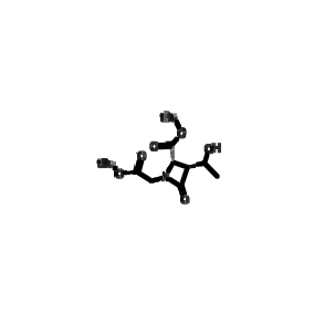 CC(O)[C@H]1C(=O)N(CC(=O)OC(C)(C)C)[C@@H]1C(=O)OC(C)(C)C